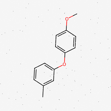 COc1ccc(Oc2cccc(C)c2)cc1